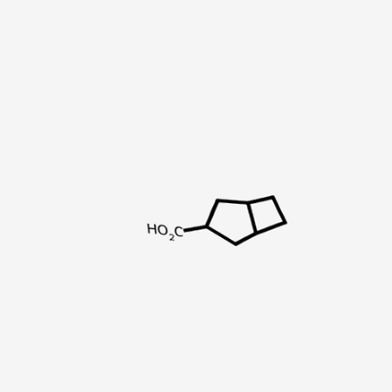 O=C(O)C1CC2CCC2C1